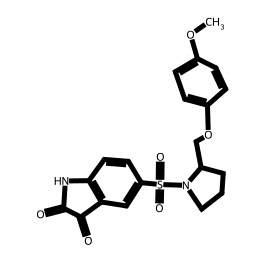 COc1ccc(OCC2CCCN2S(=O)(=O)c2ccc3c(c2)C(=O)C(=O)N3)cc1